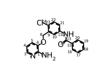 Nc1ncccc1OCc1cc(NC(=O)c2ccccc2)ccc1Cl